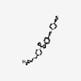 C=CCC[C@H]1CC[C@H](C(=O)Oc2ccc(C#C[C@H]3CC[C@H](C#N)CC3)cc2)CC1